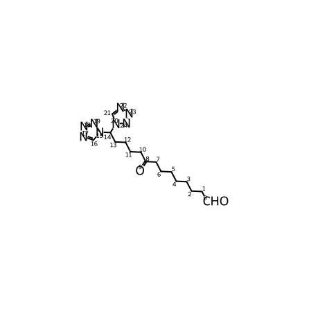 O=CCCCCCCCC(=O)CCCCC(n1cnnn1)n1cnnn1